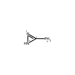 PC1=NN1